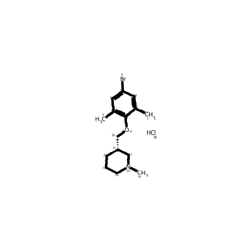 Cc1cc(Br)cc(C)c1OC[C@H]1CCCN(C)C1.Cl